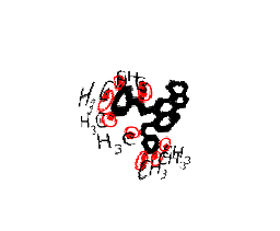 COc1cc(C(Cc2cccc3c2c(CC(OC)c2cc(OC)c(OC)c(OC)c2)cc2c4c(ccc23)CCCC4)OC)cc(OC)c1OC